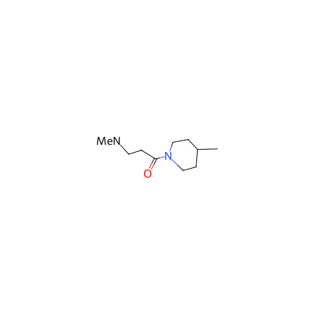 CNCCC(=O)N1CCC(C)CC1